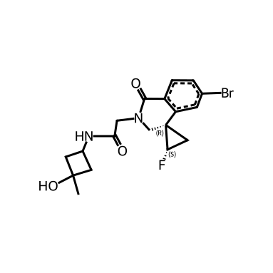 CC1(O)CC(NC(=O)CN2C[C@@]3(C[C@@H]3F)c3cc(Br)ccc3C2=O)C1